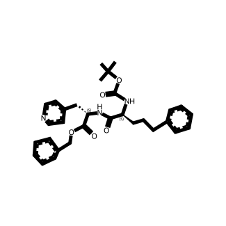 CC(C)(C)OC(=O)N[C@@H](CCCc1ccccc1)C(=O)N[C@@H](Cc1ccncc1)C(=O)OCc1ccccc1